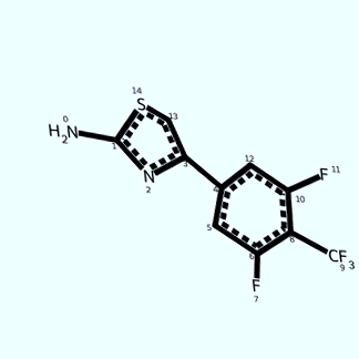 Nc1nc(-c2cc(F)c(C(F)(F)F)c(F)c2)cs1